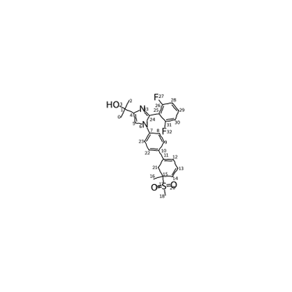 CC(C)(O)c1cn(-c2ccc(C3=CC=CC(C)(S(C)(=O)=O)C3)cc2)c(-c2c(F)cccc2F)n1